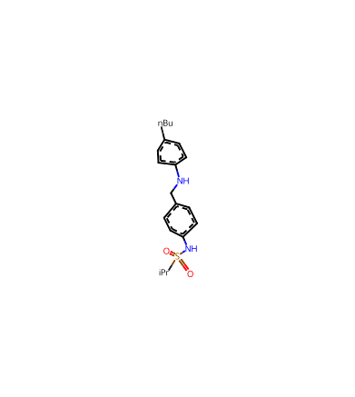 CCCCc1ccc(NCc2ccc(NS(=O)(=O)C(C)C)cc2)cc1